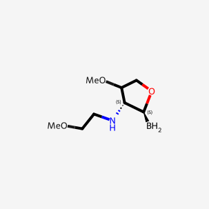 B[C@@H]1OCC(OC)[C@H]1NCCOC